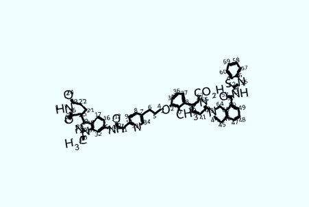 Cc1c(OCCCc2ccc(CC(=O)Nc3ccc4c(C5CCC(=O)NC5=O)nn(C)c4c3)nc2)cccc1-c1ccc(N2CCc3cccc(C(=O)Nc4nc5ccccc5s4)c3C2)nc1C(=O)O